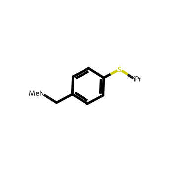 CNCc1ccc(SC(C)C)cc1